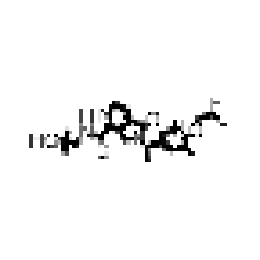 Cc1cc(C(C)N2Cc3c(ccnc3C(=O)NCC(C)(C)O)C2=O)cnc1OCC(F)F